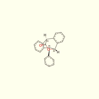 O=C1O[C@H]2c3ccccc3[C@@H]1c1ccccc1[C@H]2c1ccccc1